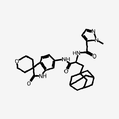 Cn1nccc1C(=O)NC(CC12CC3CC(CC(C3)C1)C2)C(=O)Nc1ccc2c(c1)NC(=O)C21CCOCC1